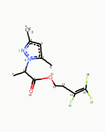 Cc1cc(C(F)(F)F)nn1C(C)C(=O)OCCC(F)=C(F)F